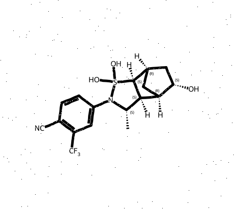 C[C@H]1[C@@H]2[C@H]3C[C@H](C[C@@H]3O)[C@@H]2S(O)(O)N1c1ccc(C#N)c(C(F)(F)F)c1